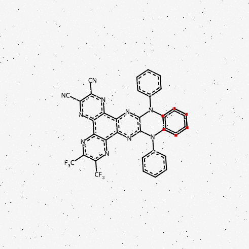 N#Cc1nc2c(nc1C#N)c1nc(C(F)(F)F)c(C(F)(F)F)nc1c1nc(N(c3ccccc3)c3ccccc3)c(N(c3ccccc3)c3ccccc3)nc21